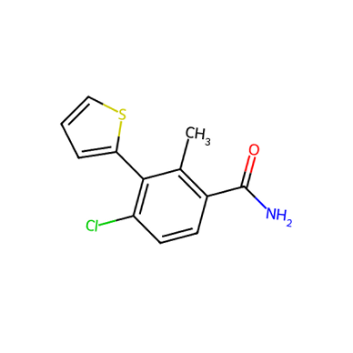 Cc1c(C(N)=O)ccc(Cl)c1-c1cccs1